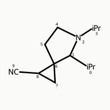 CC(C)C1N(C(C)C)CCC12CC2C#N